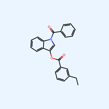 CCc1cccc(C(=O)Oc2cn(C(=O)c3ccccc3)c3ccccc23)c1